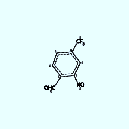 O=Cc1ccc(C(F)(F)F)cc1N=O